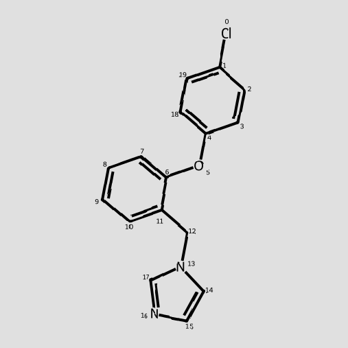 Clc1ccc(Oc2ccccc2Cn2ccnc2)cc1